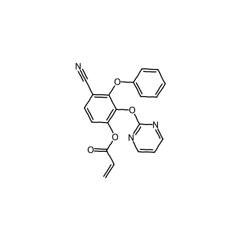 C=CC(=O)Oc1ccc(C#N)c(Oc2ccccc2)c1Oc1ncccn1